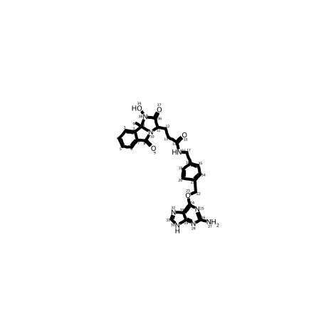 CC12c3ccccc3C(=O)N1C(CCC(=O)NCc1ccc(COc3nc(N)nc4[nH]cnc34)cc1)C(=O)N2O